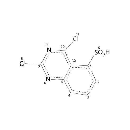 O=S(=O)(O)c1cccc2nc(Cl)nc(Cl)c12